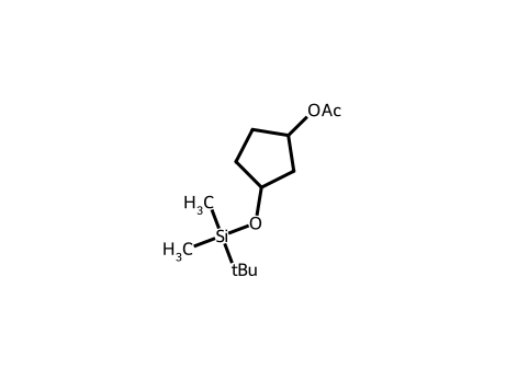 CC(=O)OC1CCC(O[Si](C)(C)C(C)(C)C)C1